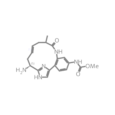 COC(=O)Nc1ccc2c(c1)NC(=O)C(C)C/C=C/C[C@H](N)c1nc-2c[nH]1